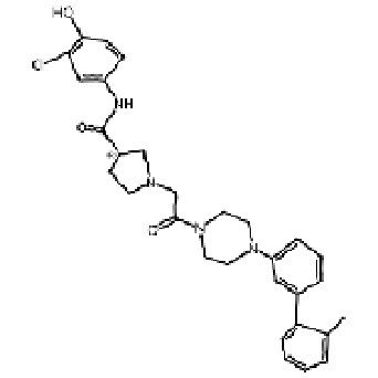 Cc1ccccc1-c1cccc(N2CCN(C(=O)CN3CC[C@@H](C(=O)Nc4ccc(O)c(Cl)c4)C3)CC2)c1